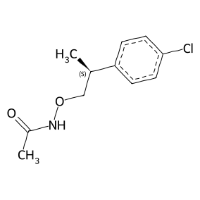 CC(=O)NOC[C@@H](C)c1ccc(Cl)cc1